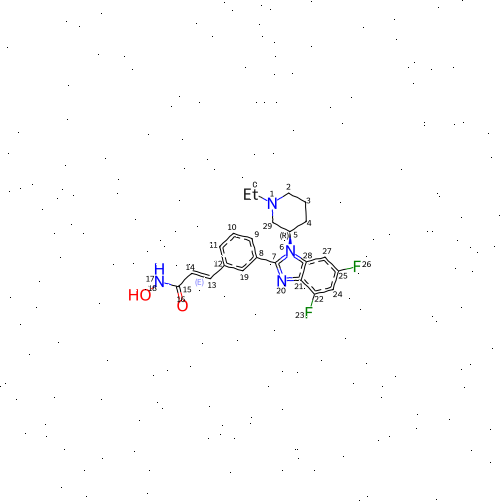 CCN1CCC[C@@H](n2c(-c3cccc(/C=C/C(=O)NO)c3)nc3c(F)cc(F)cc32)C1